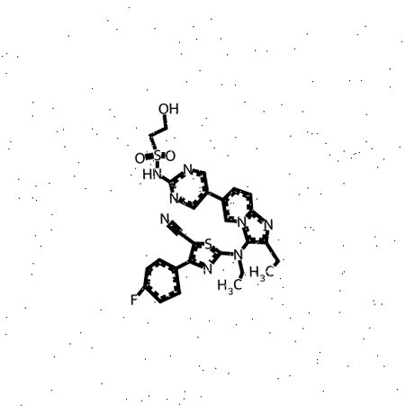 CCc1nc2ccc(-c3cnc(NS(=O)(=O)CCO)nc3)cn2c1N(CC)c1nc(-c2ccc(F)cc2)c(C#N)s1